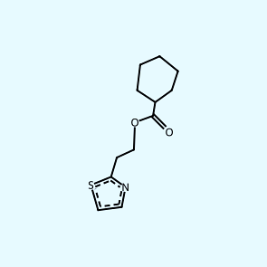 O=C(OCCc1nccs1)C1CCCCC1